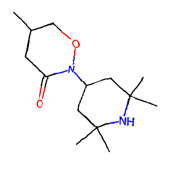 CC1CON(C2CC(C)(C)NC(C)(C)C2)C(=O)C1